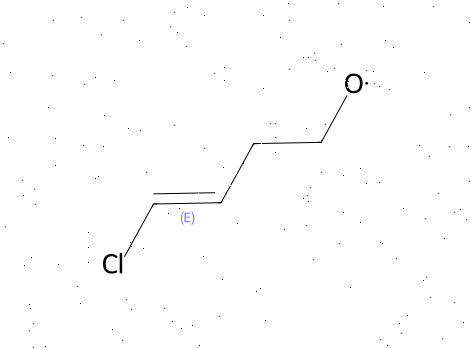 [O]CC/C=C/Cl